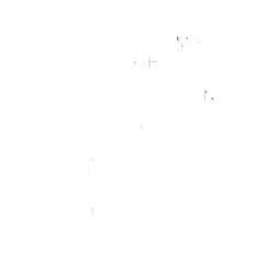 COc1cncc2c1C1(O)C(=O)CC(c3ccccc3)C1(c1ccc(C(F)(F)F)cc1)O2